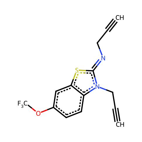 C#CC/N=c1\sc2cc(OC(F)(F)F)ccc2n1CC#C